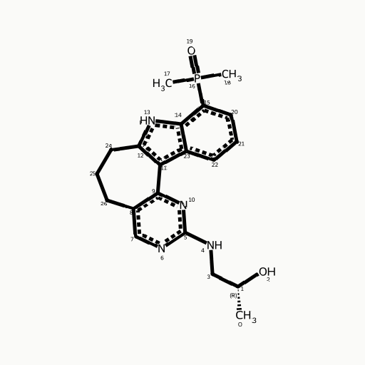 C[C@@H](O)CNc1ncc2c(n1)-c1c([nH]c3c(P(C)(C)=O)cccc13)CCC2